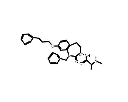 CNC(C)C(=O)N[C@H]1CCc2ccc(OCCCc3ccccc3)cc2N(Cc2ccccc2)C1=O